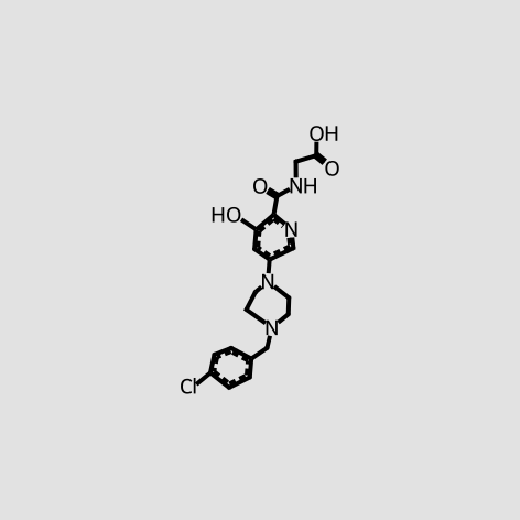 O=C(O)CNC(=O)c1ncc(N2CCN(Cc3ccc(Cl)cc3)CC2)cc1O